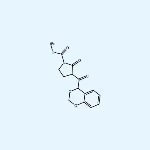 CC(C)(C)OC(=O)N1CCC(C(=O)C2OCOc3ccccc32)C1=O